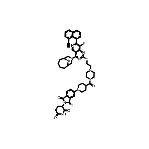 C#Cc1cccc2cccc(-c3ncc4c(N5CC6CCCCC(C5)N6)nc(OCCN5CCN(C(=O)C6CCN(c7ccc8c(c7)C(=O)N(C7CCC(=O)NC7=O)C8=O)CC6)CC5)nc4c3F)c12